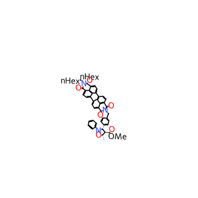 CCCCCCC(CCCCCC)N1C(=O)c2ccc3c4ccc5c6c(ccc(c7ccc(c2c37)C1=O)c64)C(=O)N(Cc1ccc([C@@H]2[C@@H](C(=O)OC)[C@H](C)ON2c2ccccc2)cc1)C5=O